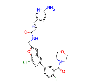 Nc1ccc(/C=C/C(=O)NCc2cc3cc(-c4ccc(F)c(C(=O)N5CCOCC5)c4)cc(Cl)c3o2)cn1